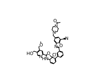 COCc1cc(C(=O)NC2C=CC=C(c3cccc(-c4nc5cc(CN6CCN(C(C)=O)CC6)cc(C#N)c5o4)c3)C2(C)Cl)ncc1CO